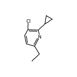 CCc1ccc(Cl)c(C2CC2)n1